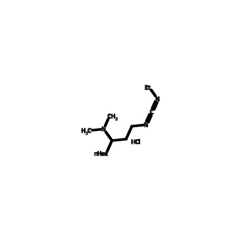 CCCCCCC(CCN=C=NCC)N(C)C.Cl